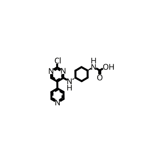 O=C(O)N[C@H]1CC[C@H](Nc2nc(Cl)ncc2-c2ccncc2)CC1